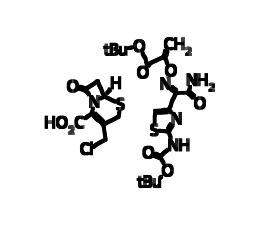 C=C(ON=C(C(N)=O)c1csc(NC(=O)OC(C)(C)C)n1)C(=O)OC(C)(C)C.O=C(O)C1=C(CCl)CS[C@H]2CC(=O)N12